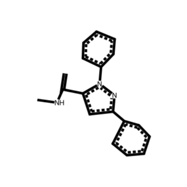 C=C(NC)c1cc(-c2ccccc2)nn1-c1ccccc1